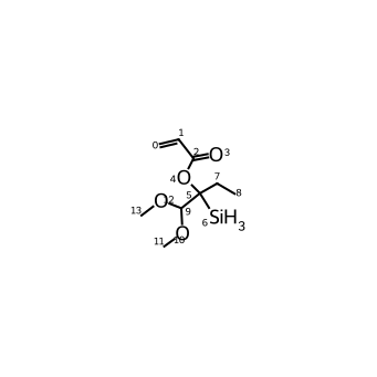 C=CC(=O)OC([SiH3])(CC)C(OC)OC